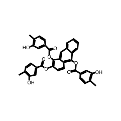 Cc1ccc(C(=O)Oc2ccc3c(OC(=O)c4ccc(C)c(O)c4)c4ccccc4cc3c2OC(=O)c2ccc(C)c(O)c2)cc1O